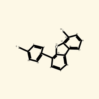 Ic1ccc(-c2cccc3c2oc2c(I)cccc23)cc1